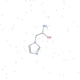 NC(O)Cn1ccnc1